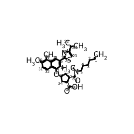 C=CCCCCN(C)C(=O)[C@@H]1C[C@H](Oc2cc(-c3nc(C(C)C)cs3)cc3c(C)c(C)ccc23)C[C@H]1C(=O)O